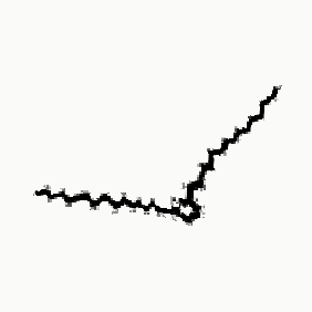 CCCCCCCCCCCCCCCc1c[c]cc(CCCCCCCCCCCCCCC)n1